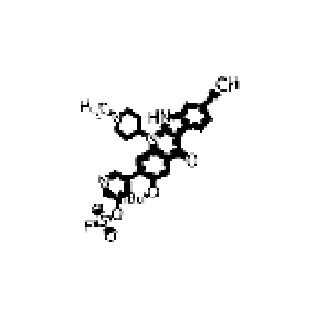 C#Cc1ccc2c(c1)[nH]c1c2c(=O)c2cc(OCCCC)c(-c3cncc(OS(=O)(=O)F)c3)cc2n1C1CCN(C)CC1